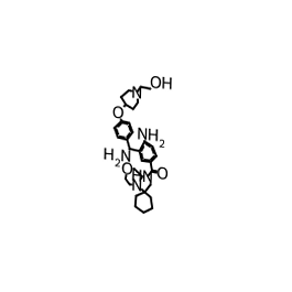 Nc1ccc(C(=O)NCC2(N3CCOCC3)CCCCC2)cc1C(N)c1ccc(OC2CCN(CCO)CC2)cc1